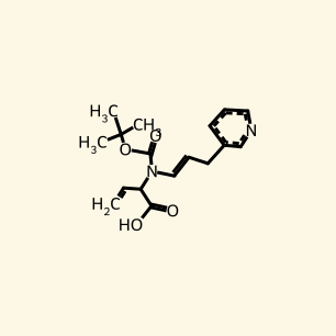 C=CC(C(=O)O)N(C=CCc1cccnc1)C(=O)OC(C)(C)C